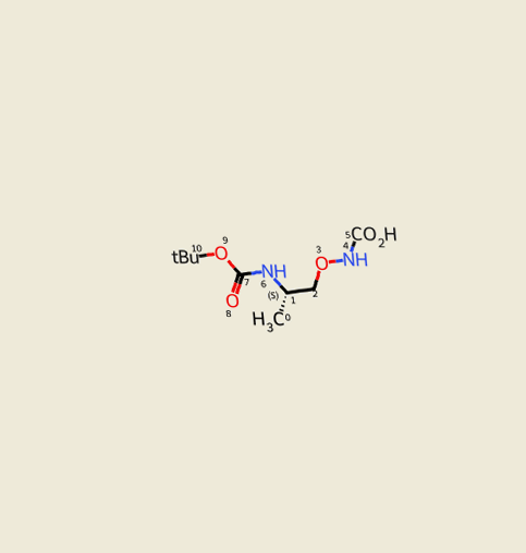 C[C@@H](CONC(=O)O)NC(=O)OC(C)(C)C